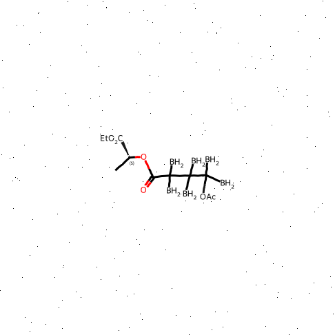 BC(B)(OC(C)=O)C(B)(B)C(B)(B)C(=O)O[C@@H](C)C(=O)OCC